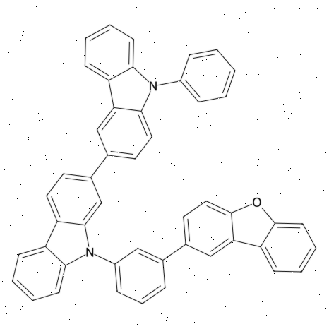 c1ccc(-n2c3ccccc3c3cc(-c4ccc5c6ccccc6n(-c6cccc(-c7ccc8oc9ccccc9c8c7)c6)c5c4)ccc32)cc1